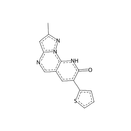 Cc1cc2ncc3cc(-c4cccs4)c(=O)[nH]c3n2n1